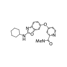 CNC(=O)c1cc(Oc2ccc3nc(NC4CCCCC4)oc3c2)ccn1